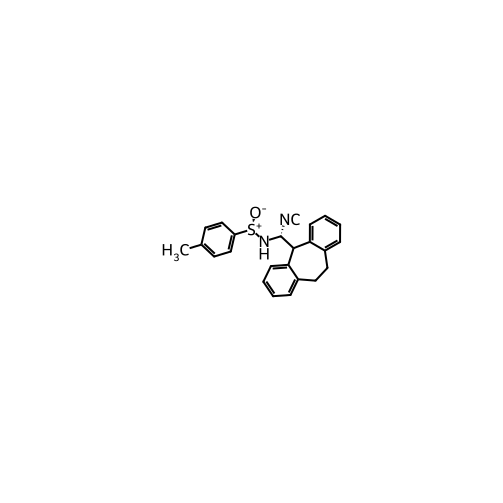 [C-]#[N+][C@@H](N[S@@+]([O-])c1ccc(C)cc1)C1c2ccccc2CCc2ccccc21